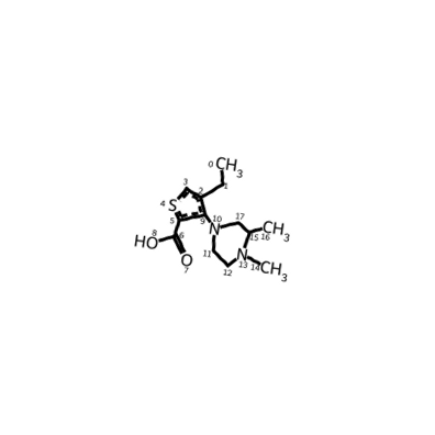 CCc1csc(C(=O)O)c1N1CCN(C)C(C)C1